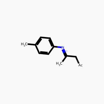 CC(=O)C/C(C)=N/c1ccc(C)cc1